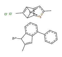 CC1=C2c3cc(C)sc3C1[Si]2(C)C.CC1=Cc2c(-c3ccccc3)cccc2[CH]1[Zr+2].[Cl-].[Cl-]